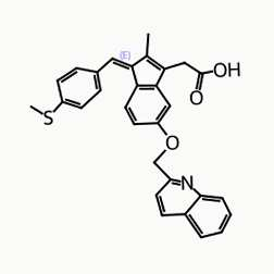 CSc1ccc(/C=C2/C(C)=C(CC(=O)O)c3cc(OCc4ccc5ccccc5n4)ccc32)cc1